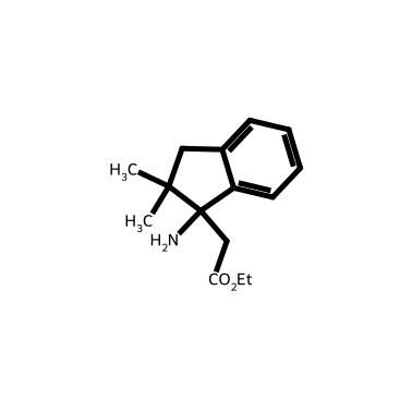 CCOC(=O)CC1(N)c2ccccc2CC1(C)C